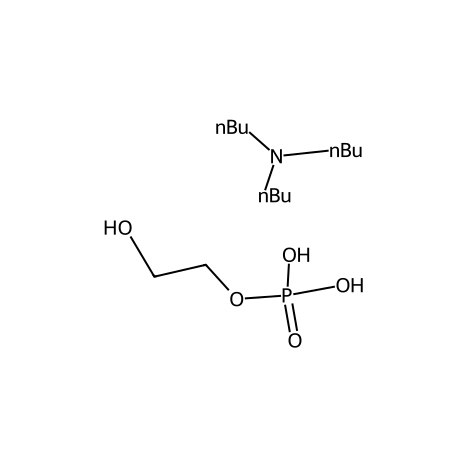 CCCCN(CCCC)CCCC.O=P(O)(O)OCCO